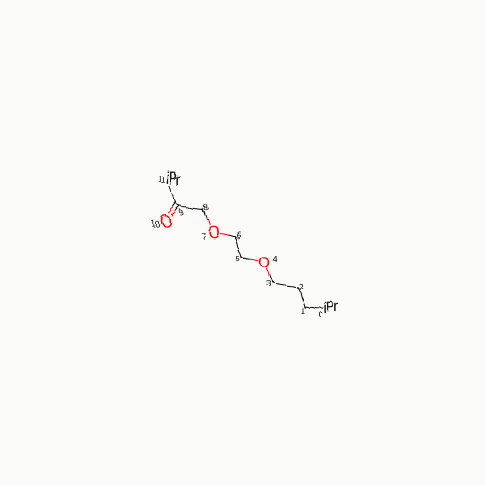 CC(C)CCCOCCOCC(=O)C(C)C